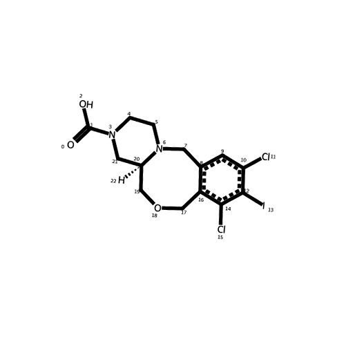 O=C(O)N1CCN2Cc3cc(Cl)c(I)c(Cl)c3COC[C@H]2C1